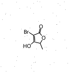 CC1OC(=O)C(Br)=C1O